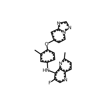 Cc1ccc2ncc(F)c(Nc3ccc(Oc4ccn5ncnc5c4)c(C)c3)c2n1